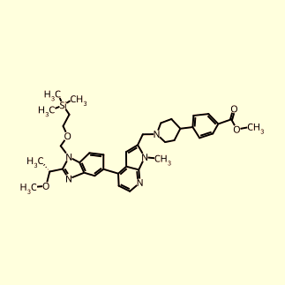 COC(=O)c1ccc(C2CCN(Cc3cc4c(-c5ccc6c(c5)nc([C@@H](C)OC)n6COCC[Si](C)(C)C)ccnc4n3C)CC2)cc1